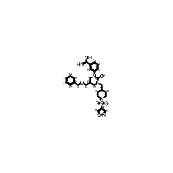 N=C(N)c1cccc(N2CC(COCc3ccccc3)CN(CC3CCN(S(=O)(=O)c4cnoc4)CC3)C2=O)c1